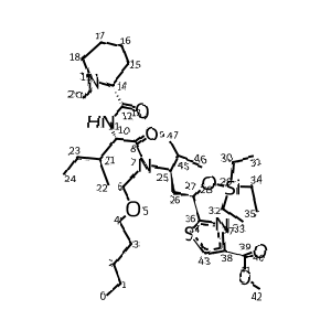 CCCCCOCN(C(=O)[C@@H](NC(=O)[C@H]1CCCCN1C)C(C)CC)[C@H](C[C@@H](O[Si](CC)(CC)CC)c1nc(C(=O)OC)cs1)C(C)C